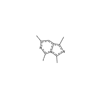 Cc1cc2c(C)nc(C)n2c(I)n1